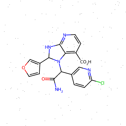 NC(=O)C(c1ccc(Cl)nc1)N1c2c(C(=O)O)ccnc2NC1c1ccoc1